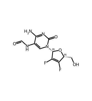 Nc1nc(=O)n([C@@H]2O[C@H](CO)C(F)=C2F)cc1NC=O